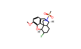 COc1ccc2c3c1O[C@@H]1C(F)CCC4[C@H](C2)N(S(C)(=O)=O)CCC341